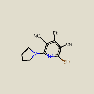 CCc1c(C#N)c(S)nc(N2CCCC2)c1C#N